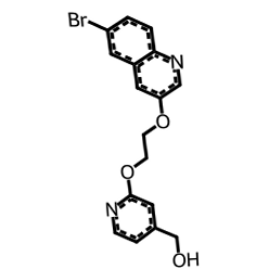 OCc1ccnc(OCCOc2cnc3ccc(Br)cc3c2)c1